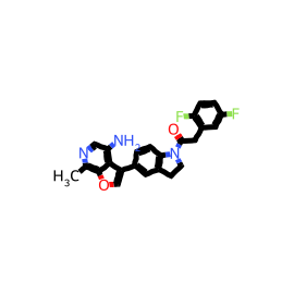 Cc1ncc(N)c2c(-c3ccc4c(c3)CCN4C(=O)Cc3cc(F)ccc3F)coc12